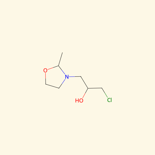 CC1OCCN1CC(O)CCl